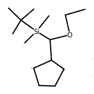 CCOC(C1[CH]CCC1)[Si](C)(C)C(C)(C)C